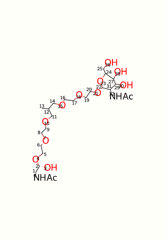 CC(=O)NC[C@@H](O)OCCOCCOCC(C)COCCOCCOC1OC(CO)C(O)C(O)C1NC(C)=O